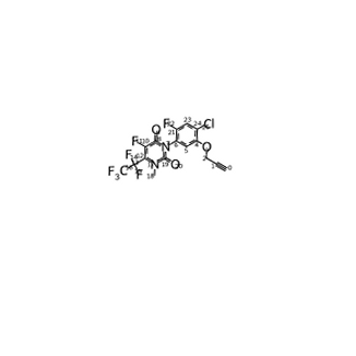 C#CCOc1cc(-n2c(=O)c(F)c(C(F)(F)C(F)(F)F)n(C)c2=O)c(F)cc1Cl